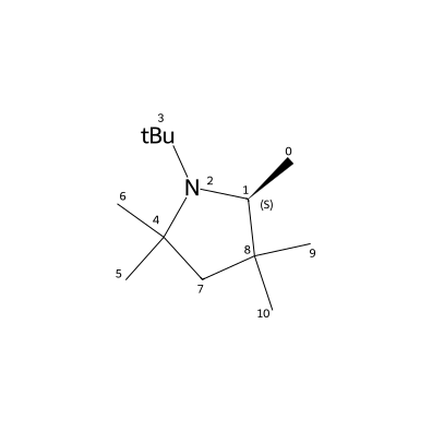 C[C@@H]1N(C(C)(C)C)C(C)(C)CC1(C)C